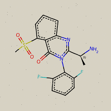 C[C@H](N)c1nc2cccc(S(C)(=O)=O)c2c(=O)n1-c1c(F)cccc1F